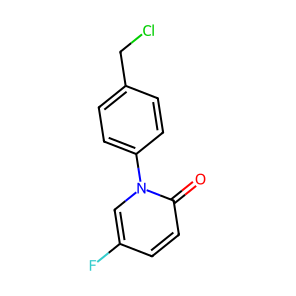 O=c1ccc(F)cn1-c1ccc(CCl)cc1